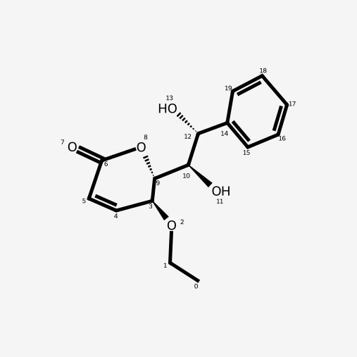 CCO[C@H]1C=CC(=O)O[C@@H]1[C@H](O)[C@H](O)c1ccccc1